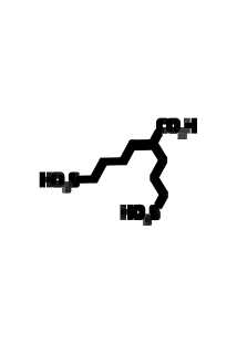 O=C(O)C(=CCCCS(=O)(=O)O)CCCS(=O)(=O)O